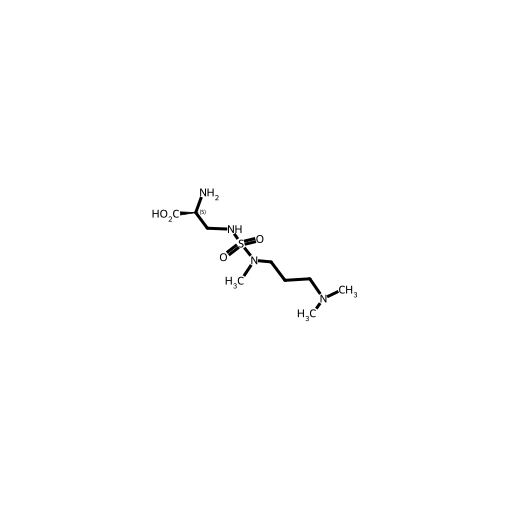 CN(C)CCCN(C)S(=O)(=O)NC[C@H](N)C(=O)O